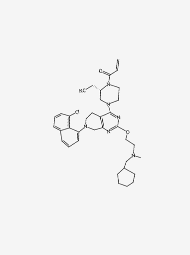 C=CC(=O)N1CCN(c2nc(OCCN(C)CC3CCCCC3)nc3c2CCN(c2cccc4cccc(Cl)c24)C3)C[C@@H]1CC#N